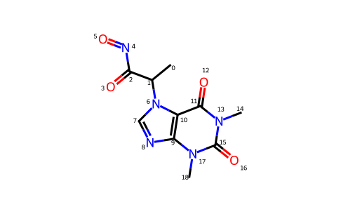 CC(C(=O)N=O)n1cnc2c1c(=O)n(C)c(=O)n2C